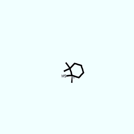 CC1(C)CCCC[C@]1(C)S